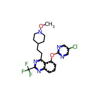 CON1CCC(CCc2nc(C(F)(F)F)nc3cccc(Oc4ncc(Cl)cn4)c23)CC1